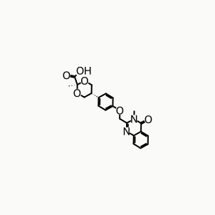 Cn1c(COc2ccc([C@H]3CO[C@](C)(C(=O)O)OC3)cc2)nc2ccccc2c1=O